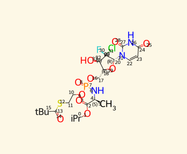 CC(C)OC(=O)[C@H](C)NP(=O)(OCCSC(=O)C(C)(C)C)OC[C@H]1O[C@@H](n2ccc(=O)[nH]c2=O)[C@@](F)(Cl)[C@@H]1O